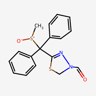 C[S+]([O-])C(C1=NN(C=O)CS1)(c1ccccc1)c1ccccc1